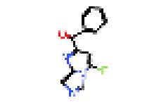 O=C(c1ccccc1)c1cc(F)n2cncc2n1